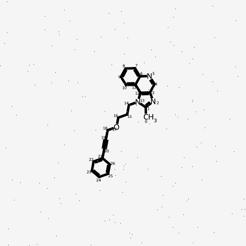 Cc1nc2cnc3ccccc3c2n1CCCOCC#Cc1ccccc1